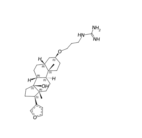 C[C@]12CC[C@H](OCCCNC(=N)N)C[C@H]1CC[C@@H]1[C@@H]2CC[C@]2(C)[C@@H](c3ccoc3)CC[C@]12O